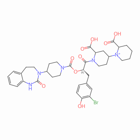 O=C(O)C1CC([N+]2CCCCC2C(=O)O)CCN1C(=O)[C@@H](Cc1ccc(O)c(Br)c1)OC(=O)N1CCC(N2CCc3ccccc3NC2=O)CC1